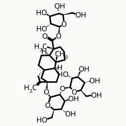 C=C1C[C@]23CC[C@@H]4[C@](C)(CCC[C@@]4(C)C(=O)O[C@@H]4O[C@H](CO)[C@@H](O)[C@H](O)[C@H]4O)[C@H]2CC[C@@]1(O[C@@H]1O[C@H](CO)[C@@H](O)[C@H](O)[C@H]1O[C@@H]1O[C@H](CO)[C@@H](O)[C@H](O)[C@H]1O)C3